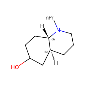 CCCN1CCC[C@H]2CC(O)CC[C@@H]21